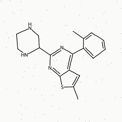 Cc1cc2c(-c3ccccc3C)nc(C3CNCCN3)nc2s1